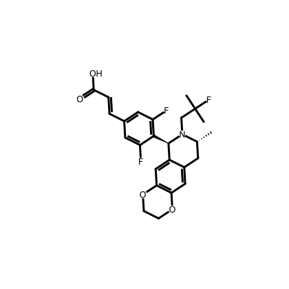 C[C@@H]1Cc2cc3c(cc2[C@@H](c2c(F)cc(/C=C/C(=O)O)cc2F)N1CC(C)(C)F)OCCO3